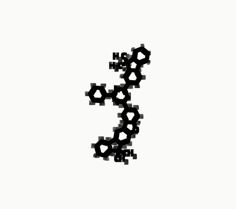 CC1(C)c2ccccc2-c2ccc(-c3nc(-c4ccccc4)nc(-c4ccc5oc6cc7c(cc6c5c4)-c4ccccc4C7(C)C)n3)cc21